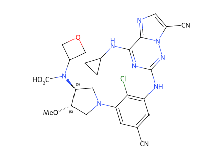 CO[C@H]1CN(c2cc(C#N)cc(Nc3nc(NC4CC4)c4ncc(C#N)n4n3)c2Cl)C[C@@H]1N(C(=O)O)C1COC1